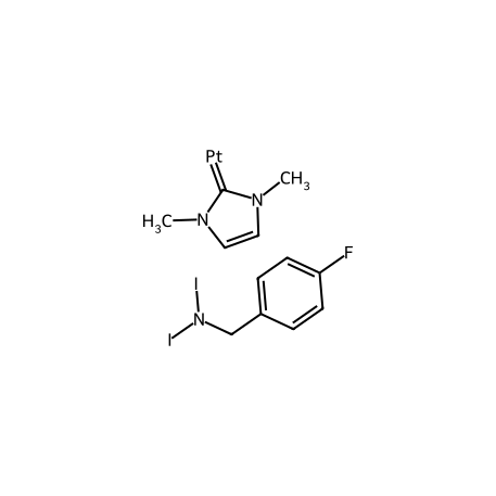 Cn1ccn(C)[c]1=[Pt].Fc1ccc(CN(I)I)cc1